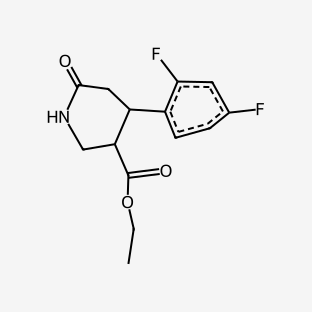 CCOC(=O)C1CNC(=O)CC1c1ccc(F)cc1F